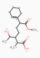 COC(=O)C(CCC(C(C)O)C(C)C(=O)O)C1=CCCCC1